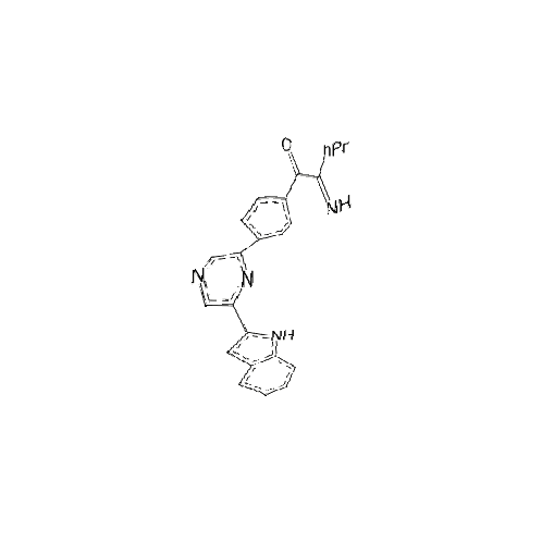 C[CH]CC(=N)C(=O)c1ccc(-c2cncc(-c3cc4ccccc4[nH]3)n2)cc1